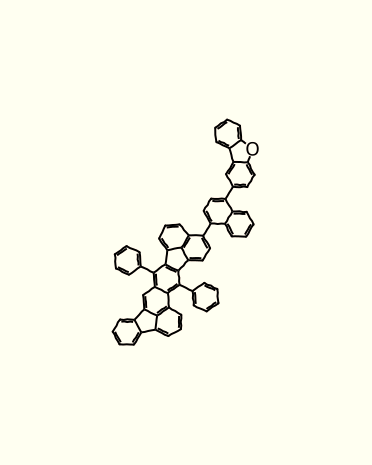 c1ccc(-c2c3cc4c5ccccc5c5cccc(c3c(-c3ccccc3)c3c6ccc(-c7ccc(-c8ccc9oc%10ccccc%10c9c8)c8ccccc78)c7cccc(c23)c76)c54)cc1